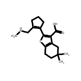 CC1(C)CCc2sc(C3=C(CNN)CCC3)c(C(=O)O)c2C1